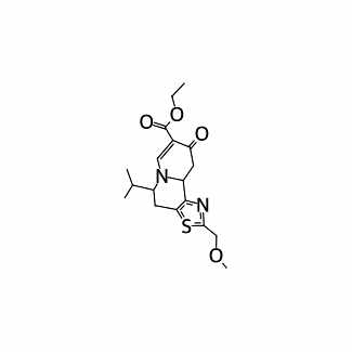 CCOC(=O)C1=CN2C(CC1=O)c1nc(COC)sc1CC2C(C)C